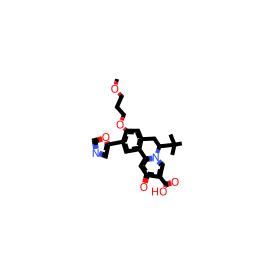 COCCCOc1cc2c(cc1-c1cnco1)-c1cc(=O)c(C(=O)O)cn1C(C(C)(C)C)C2